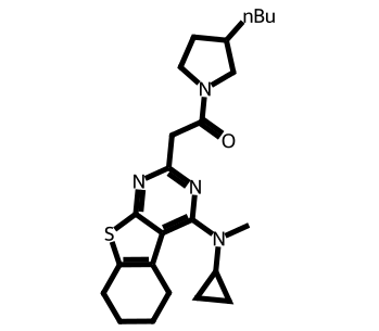 CCCCC1CCN(C(=O)Cc2nc(N(C)C3CC3)c3c4c(sc3n2)CCCC4)C1